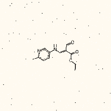 CCOC(=O)/C(C=O)=C/Nc1ccc(C)nc1